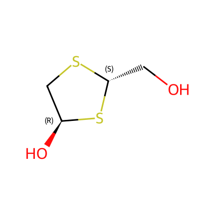 OC[C@H]1SC[C@H](O)S1